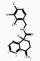 C=C1CCC(F)(C(=O)NCc2ccc(F)c(F)c2Cl)c2cccnc21